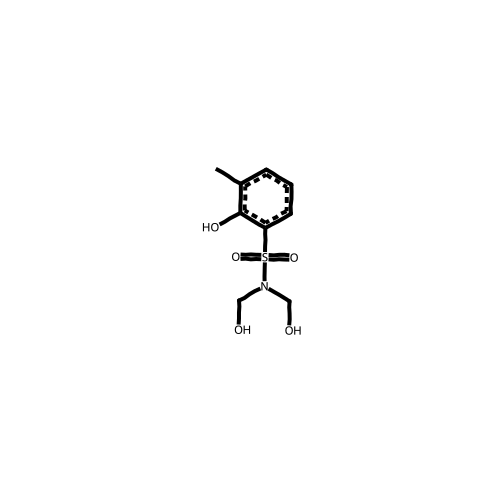 Cc1cccc(S(=O)(=O)N(CO)CO)c1O